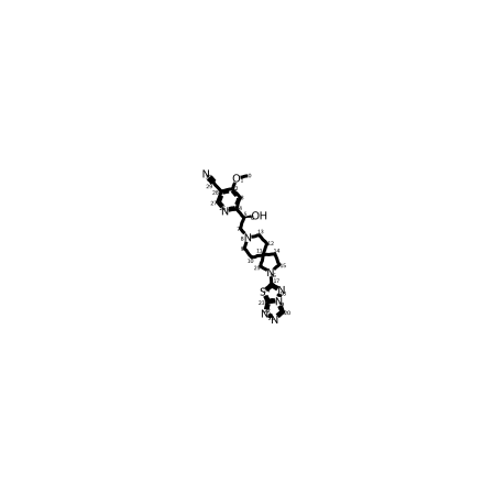 COc1cc([C@@H](O)CN2CCC3(CC2)CCN(c2nn4cnnc4s2)C3)ncc1C#N